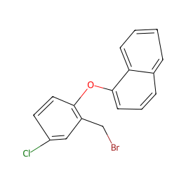 Clc1ccc(Oc2cccc3ccccc23)c(CBr)c1